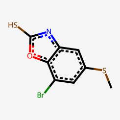 CSc1cc(Br)c2oc(S)nc2c1